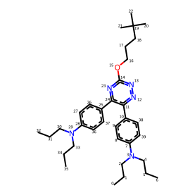 CCCN(CCC)c1ccc(-c2nnc(OCCCC(C)(C)C)nc2-c2ccc(N(CCC)CCC)cc2)cc1